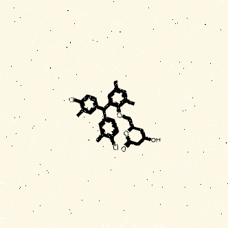 Cc1cc(C)c(OCC2CC(O)CC(=O)O2)c(C(c2ccc(Cl)c(C)c2)c2ccc(Cl)c(C)c2)c1